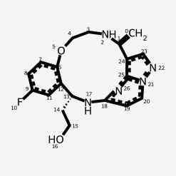 C=C1NCCOc2ccc(F)cc2[C@@H](CCO)Nc2ccn3ncc1c3n2